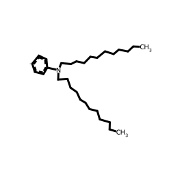 CCCCCCCCCCCCN(CCCCCCCCCCCC)c1cc[c]cc1